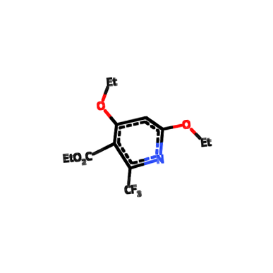 CCOC(=O)c1c(OCC)cc(OCC)nc1C(F)(F)F